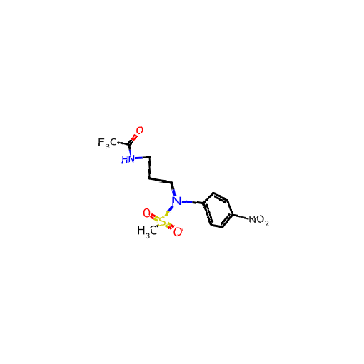 CS(=O)(=O)N(CCCNC(=O)C(F)(F)F)c1ccc([N+](=O)[O-])cc1